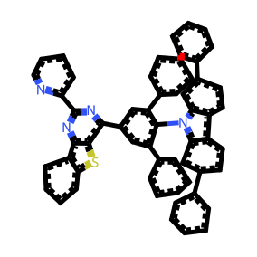 c1ccc(-c2ccc3c4ccc(-c5ccccc5)cc4n(-c4c(-c5ccccc5)cc(-c5nc(-c6ccccn6)nc6c5sc5ccccc56)cc4-c4ccccc4)c3c2)cc1